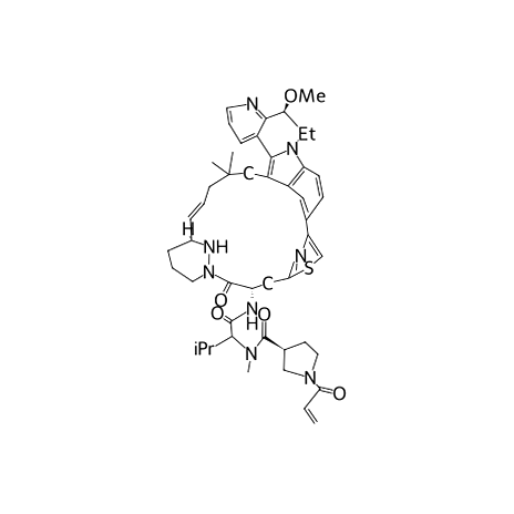 C=CC(=O)N1CC[C@H](C(=O)N(C)C(C(=O)N[C@H]2Cc3nc(cs3)-c3ccc4c(c3)c(c(-c3cccnc3[C@H](C)OC)n4CC)CC(C)(C)C/C=C/[C@@H]3CCCN(N3)C2=O)C(C)C)C1